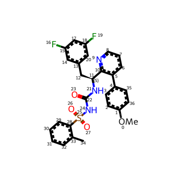 COc1ccc(-c2cccnc2[C@H](Cc2cc(F)cc(F)c2)NC(=O)NS(=O)(=O)c2ccccc2C)cc1